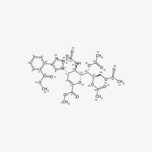 COC(=O)C1=C[C@H](n2cc(-c3ccccc3C(=O)OC)nn2)[C@@H](NC(C)=O)[C@H]([C@H](OC(C)=O)[C@@H](COC(C)=O)OC(C)=O)O1